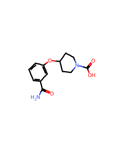 NC(=O)c1cccc(OC2CCN(C(=O)O)CC2)c1